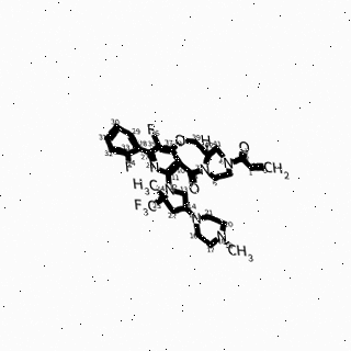 C=CC(=O)N1CCN2C(=O)c3c(N4CC(N5CCN(C)CC5)CC4(C)C(F)(F)F)nc(-c4ccccc4F)c(F)c3OC[C@H]2C1